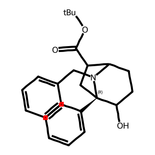 CC(C)(C)OC(=O)C1C[C@@]2(c3ccccc3)C(O)CCC1N2Cc1ccccc1